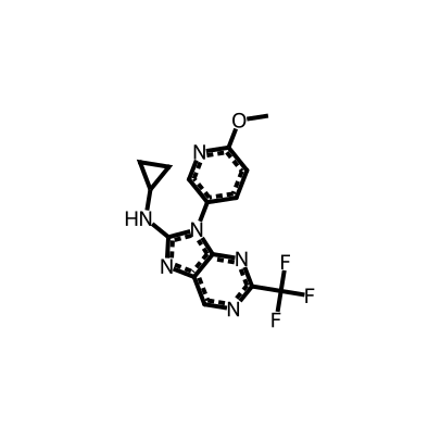 COc1ccc(-n2c(NC3CC3)nc3cnc(C(F)(F)F)nc32)cn1